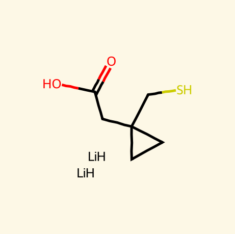 O=C(O)CC1(CS)CC1.[LiH].[LiH]